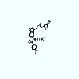 CN(CCc1csc2ccc(NC(=O)c3ccc(F)cc3)cc12)Cc1cc(Br)cs1.Cl